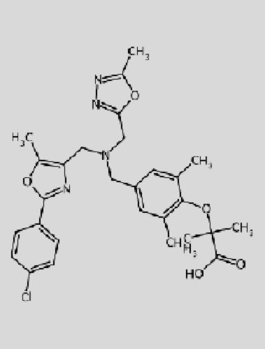 Cc1nnc(CN(Cc2cc(C)c(OC(C)(C)C(=O)O)c(C)c2)Cc2nc(-c3ccc(Cl)cc3)oc2C)o1